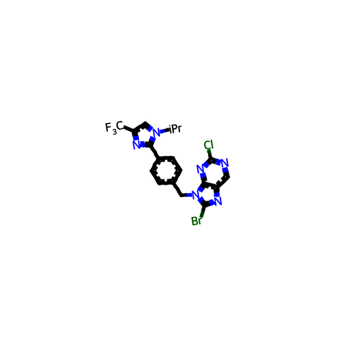 CC(C)n1cc(C(F)(F)F)nc1-c1ccc(Cn2c(Br)nc3cnc(Cl)nc32)cc1